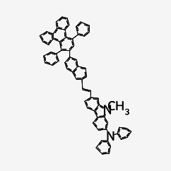 Cn1c2cc(/C=C/c3ccc4cc(-c5cc(-c6ccccc6)c6c7ccccc7c7ccccc7c6c5-c5ccccc5)ccc4c3)ccc2c2ccc(N(c3ccccc3)c3ccccc3)cc21